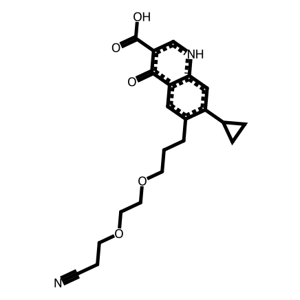 N#CCCOCCOCCCc1cc2c(=O)c(C(=O)O)c[nH]c2cc1C1CC1